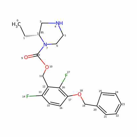 CC[C@@H]1CNCCN1C(=O)OCc1c(F)ccc(OCc2ccccc2)c1F